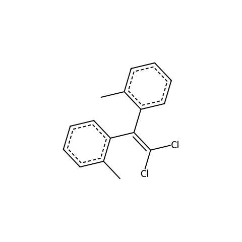 Cc1ccccc1C(=C(Cl)Cl)c1ccccc1C